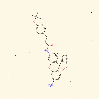 CC(C)(C)Oc1ccc(CCC(=O)Nc2ccc3c(c2)Oc2cc(N)ccc2C32OCc3ccccc32)cc1